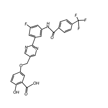 O=C(Nc1cc(F)cc(-c2ncc(COc3ccc(O)c(C(=O)O)c3)cn2)c1)c1ccc(C(F)(F)F)cc1